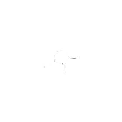 CN1C(=O)SSC1O